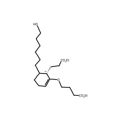 CCOC(=O)CCCOC1=CCCC(CCCCCCO)[C@@H]1CCC(=O)OCC